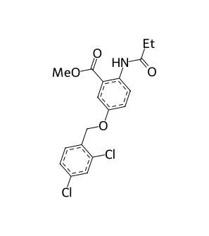 CCC(=O)Nc1ccc(OCc2ccc(Cl)cc2Cl)cc1C(=O)OC